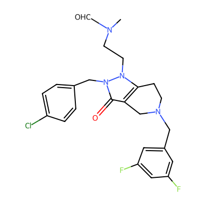 CN(C=O)CCn1c2c(c(=O)n1Cc1ccc(Cl)cc1)CN(Cc1cc(F)cc(F)c1)CC2